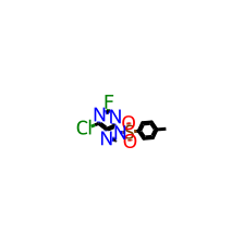 Cc1ccc(S(=O)(=O)n2cnc3c(Cl)nc(F)nc32)cc1